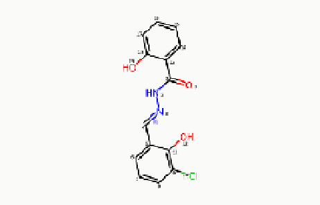 O=C(N/N=C/c1cccc(Cl)c1O)c1ccccc1O